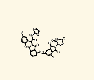 O=C1CCC(N2C(=O)c3cc(CNc4cccc5c4C(=O)N(C(C(=O)Nc4nccs4)c4cc(F)ccc4O)C5)cc(F)c3C2=O)C(=O)N1